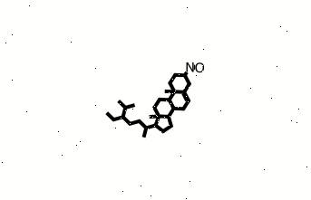 CCC(CCC(C)C1CCC2C3CC=C4CC(N=O)CCC4(C)C3CCC12C)C(C)C